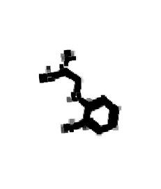 CC[C@@H](O)COc1ccccc1C(C)C